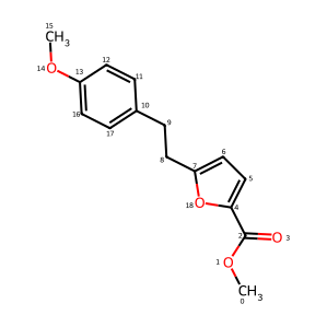 COC(=O)c1ccc(CCc2ccc(OC)cc2)o1